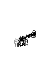 CCNC1(CNCCNCCNCc2ccc(C(=O)ON3C(=O)CCC3=O)cc2)CNCCNCCCNCCNC1